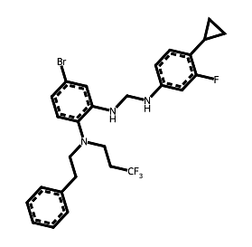 Fc1cc(NCNc2cc(Br)ccc2N(CCc2ccccc2)CCC(F)(F)F)ccc1C1CC1